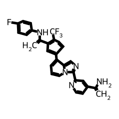 C=C(N)c1ccnc(-c2ncc3c(-c4ccc(C(F)(F)F)c(C(=C)Nc5ccc(F)cc5)c4)cccn23)c1